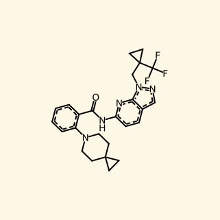 O=C(Nc1ccc2cnn(CC3(C(F)(F)F)CC3)c2n1)c1ccccc1N1CCC2(CC1)CC2